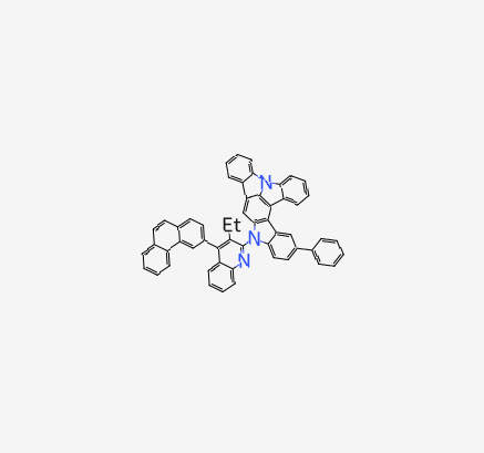 CCc1c(-n2c3ccc(-c4ccccc4)cc3c3c4c5ccccc5n5c6ccccc6c(cc32)c45)nc2ccccc2c1-c1ccc2ccc3ccccc3c2c1